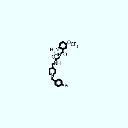 CC(C)c1ccc(CN2CCC(CNC(=O)CNC(=O)c3cc(OC(F)(F)F)ccc3N)CC2)cc1